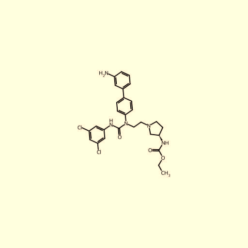 CCOC(=O)N[C@@H]1CCN(CCN(C(=O)Nc2cc(Cl)cc(Cl)c2)c2ccc(-c3cccc(N)c3)cc2)C1